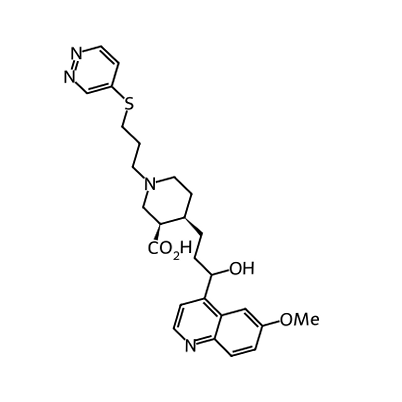 COc1ccc2nccc(C(O)CC[C@@H]3CCN(CCCSc4ccnnc4)C[C@@H]3C(=O)O)c2c1